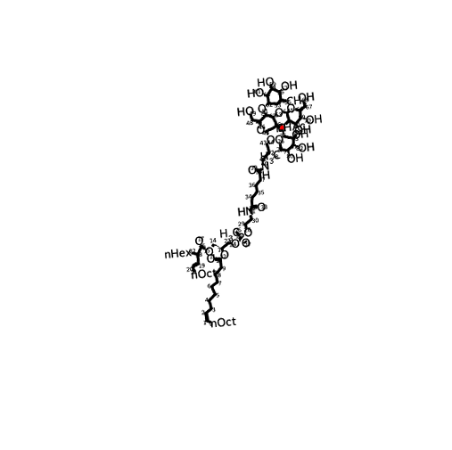 CCCCCCCC/C=C\CCCCCCCC(=O)O[C@H](COC(=O)C(/C=C/CCCCCCCC)CCCCCC)COP(C)(=O)OCCNC(=O)CCCCC(=O)NCCCO[C@@H]1OC(CO)[C@@H](O[C@@H]2CC(C)[C@@H](O)C(O)[C@@H]2O)[C@H](O[C@@H]2OC(CO)[C@H](O)[C@H](O)C2O[C@@H]2OC(C)[C@@H](O)[C@H](O)C2O)C1NC(C)=O